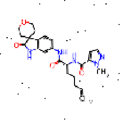 C=CCCCC(NC(=O)c1ccnn1C)C(=O)Nc1ccc2c(c1)NC(=O)C21CCOCC1